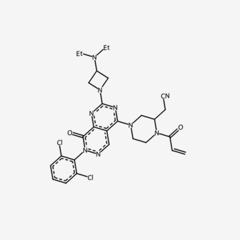 C=CC(=O)N1CCN(c2nc(N3CC(N(CC)CC)C3)nc3c(=O)n(-c4c(Cl)cccc4Cl)ncc23)CC1CC#N